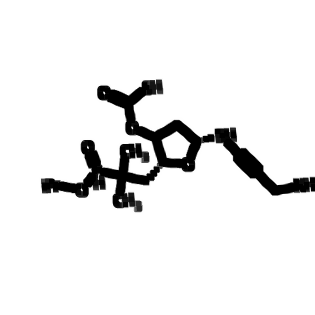 CC(C)O[PH](=O)C(C)(C)C[C@H]1O[C@@H](BC#CCN)CC1OC(=O)S